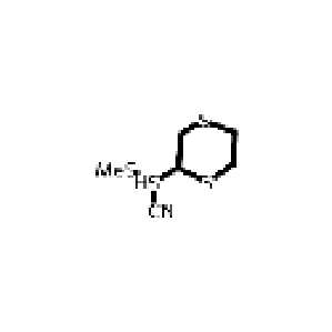 CS[SH](C#N)C1CSCCS1